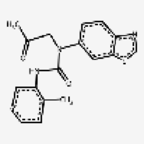 CC(=O)CN(C(=O)Nc1cnccc1C)c1ccc2ncsc2c1